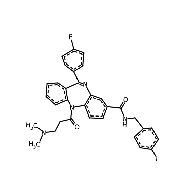 CN(C)CCC(=O)N1c2ccc(C(=O)NCc3ccc(F)cc3)cc2N=C(c2ccc(F)cc2)c2ccccc21